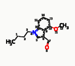 CCCCn1cc(C=O)c2c(OC)cccc21